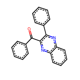 O=C(c1ccccc1)c1nc2ccccc2nc1-c1ccccc1